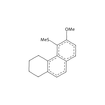 COc1ccc2ccc3c(c2c1SC)CCCC3